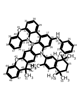 Cc1cc2c(cc1N1c3cc4c(cc3B3c5c(cc(Nc6ccccc6)cc51)-c1cccc5c1N3c1ccccc1O5)Oc1ccccc1C4(C)C)C(C)(C)CCC2(C)C